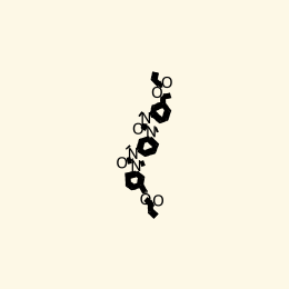 C=CC(=O)OCc1cccc(N(C)C(=O)N(C)c2cccc(N(C)C(=O)N(C)c3cccc(C(C)OC(=O)C=C)c3)c2)c1